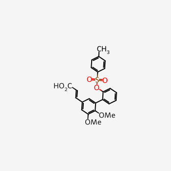 COc1cc(/C=C/C(=O)O)cc(-c2ccccc2OS(=O)(=O)c2ccc(C)cc2)c1OC